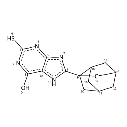 Oc1nc(S)nc2nc(C34CC5CC(CC3C5)C4)[nH]c12